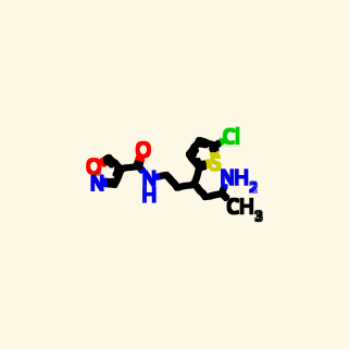 CC(N)CC(CCNC(=O)c1cnoc1)c1ccc(Cl)s1